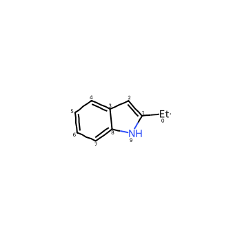 C[CH]c1cc2ccccc2[nH]1